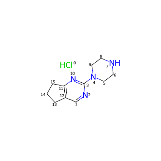 Cl.c1nc(N2CCNCC2)nc2c1CCC2